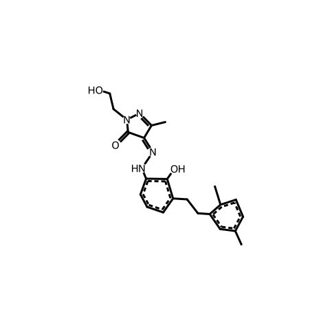 CC1=NN(CCO)C(=O)C1=NNc1cccc(CCc2cc(C)ccc2C)c1O